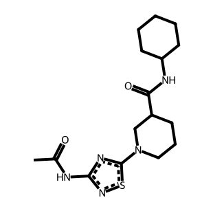 CC(=O)Nc1nsc(N2CCCC(C(=O)NC3CCCCC3)C2)n1